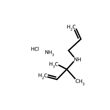 C=CCNC(C)(C)C=C.Cl.N